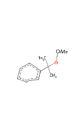 COOC(C)(C)c1ccccc1